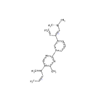 C=C/C(=C\N(C)C)c1cccc(-c2ncc(C(=C)/C=C\C)c(C)n2)c1